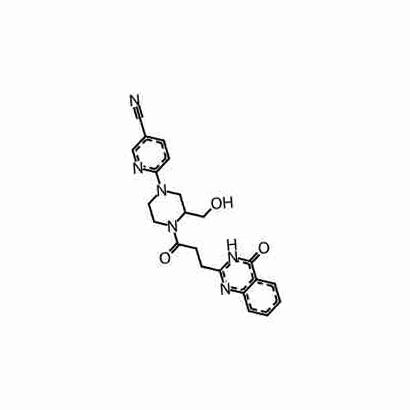 N#Cc1ccc(N2CCN(C(=O)CCc3nc4ccccc4c(=O)[nH]3)C(CO)C2)nc1